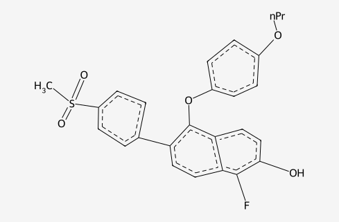 CCCOc1ccc(Oc2c(-c3ccc(S(C)(=O)=O)cc3)ccc3c(F)c(O)ccc23)cc1